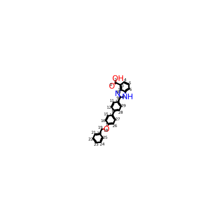 O=C(O)c1cccc2[nH]c(-c3ccc(-c4ccc(OCc5ccccc5)cc4)cc3)nc12